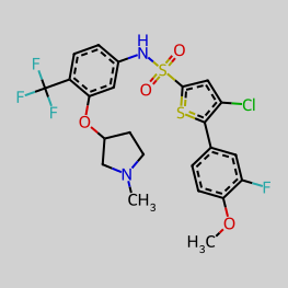 COc1ccc(-c2sc(S(=O)(=O)Nc3ccc(C(F)(F)F)c(OC4CCN(C)C4)c3)cc2Cl)cc1F